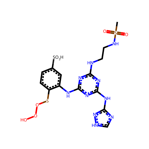 CS(=O)(=O)NCCNc1nc(Nc2nc[nH]n2)nc(Nc2cc(S(=O)(=O)O)ccc2SOOO)n1